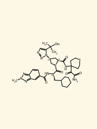 Cn1nc2ccc(C(=O)N[C@H](CC3CCCCC3)C(=O)N3C[C@@H](n4nncc4C(C)(C)O)C[C@H]3C(=O)NC3(C(=O)C(N)=O)CCSCC3)cc2n1